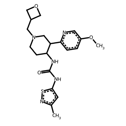 COc1ccc(C2CN(CC3COC3)CCC2NC(=O)Nc2cc(C)ns2)nc1